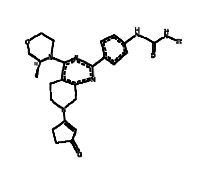 CCNC(=O)Nc1ccc(-c2nc3c(c(N4CCOC[C@@H]4C)n2)CCN(C2=CC(=O)CC2)C3)cc1